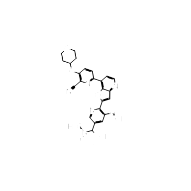 COc1cc(C(O)N(C)C)cnc1-c1cc2nccc(-c3ccc(OC4CCOCC4)c(C#N)n3)c2o1